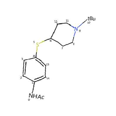 CC(=O)Nc1ccc(SC2CCN(C(C)(C)C)CC2)cc1